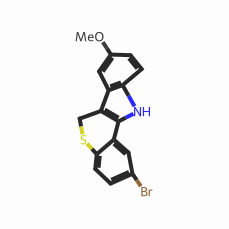 COc1ccc2[nH]c3c(c2c1)CSc1ccc(Br)cc1-3